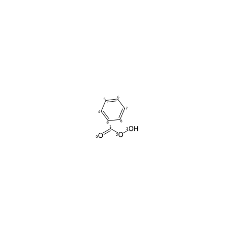 O=COO.c1ccccc1